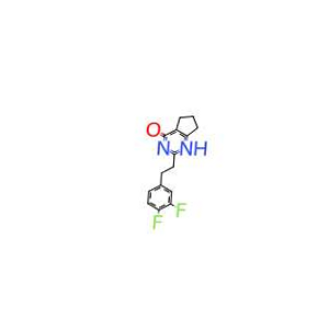 O=c1nc(CCc2ccc(F)c(F)c2)[nH]c2c1CCC2